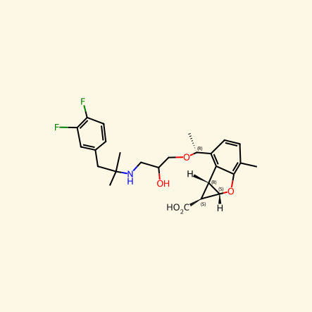 Cc1ccc([C@@H](C)OCC(O)CNC(C)(C)Cc2ccc(F)c(F)c2)c2c1O[C@@H]1[C@@H](C(=O)O)[C@H]21